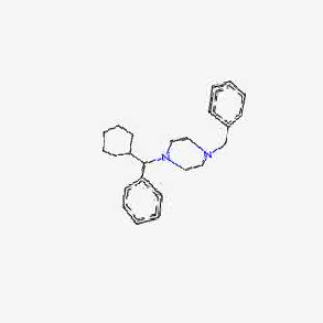 c1ccc(CN2CCN(C(c3ccccc3)C3CCCCC3)CC2)cc1